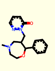 CN1CCOC(c2ccccc2)C(Cn2ncccc2=O)C1